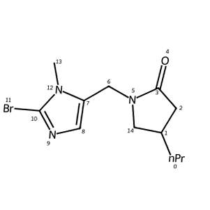 CCCC1CC(=O)N(Cc2cnc(Br)n2C)C1